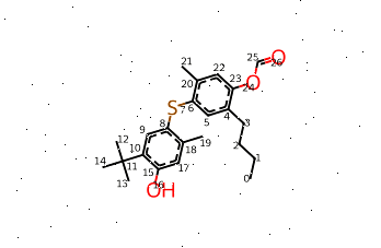 CCCCc1cc(Sc2cc(C(C)(C)C)c(O)cc2C)c(C)cc1OC=O